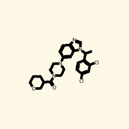 CC(c1ccc(Cl)cc1Cl)n1cnc2ccc(N3CCN(C(=O)C4CCCOC4)CC3)cc21